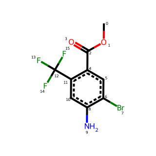 COC(=O)c1cc(Br)c(N)cc1C(F)(F)F